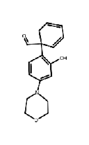 O=CC1(c2ccc(N3CCOCC3)cc2O)C=CC=CC1